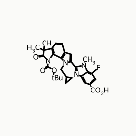 Cn1c(-c2cc3ccc4c(c3n2CC2CC2)N(C(=O)OC(C)(C)C)C(=O)C4(C)C)nc2cc(C(=O)O)cc(F)c21